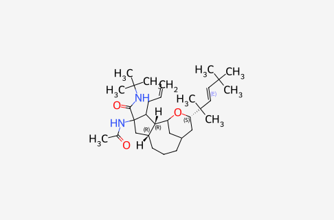 C=CCC1[C@@H]2C3CC(CCC[C@@H]2CC1(NC(C)=O)C(=O)NC(C)(C)C)C[C@@H](C(C)(C)/C=C/C(C)(C)C)O3